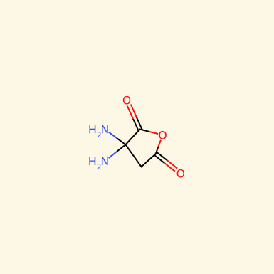 NC1(N)CC(=O)OC1=O